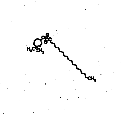 CCCCCCCCCCCCCCCCCCOP(=O)([O-])OC1CCC[N+](C)(C)CC1